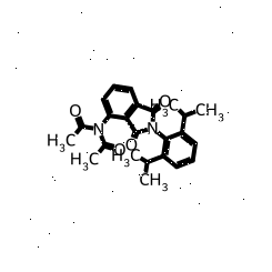 CC(=O)N(C(C)=O)c1cccc2c1C(=O)N(c1c(C(C)C)cccc1C(C)C)C2=O